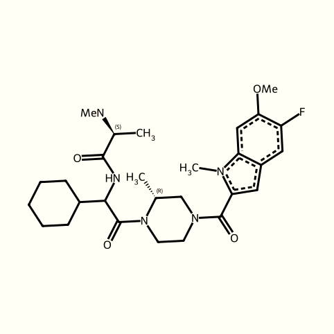 CN[C@@H](C)C(=O)NC(C(=O)N1CCN(C(=O)c2cc3cc(F)c(OC)cc3n2C)C[C@H]1C)C1CCCCC1